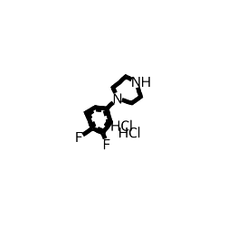 Cl.Cl.Fc1ccc(N2CCNCC2)cc1F